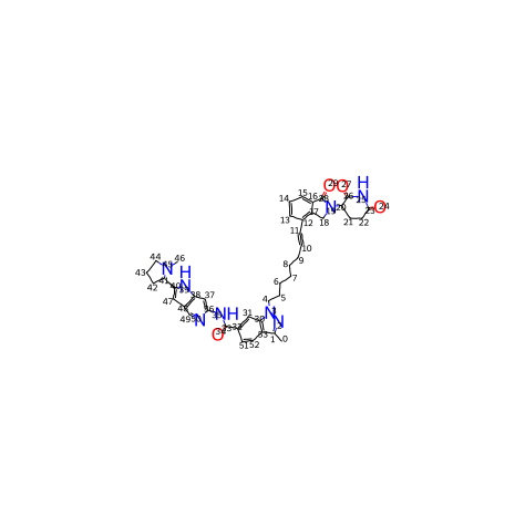 Cc1nn(CCCCCCC#Cc2cccc3c2CN(C2CCC(=O)NC2=O)C3=O)c2cc(C(=O)Nc3cc4[nH]c([C@H]5CCCN5C)cc4cn3)ccc12